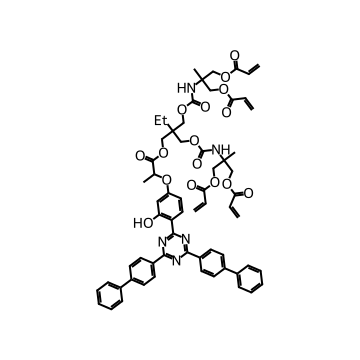 C=CC(=O)OCC(C)(COC(=O)C=C)NC(=O)OCC(CC)(COC(=O)NC(C)(COC(=O)C=C)COC(=O)C=C)COC(=O)C(C)Oc1ccc(-c2nc(-c3ccc(-c4ccccc4)cc3)nc(-c3ccc(-c4ccccc4)cc3)n2)c(O)c1